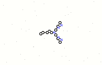 c1ccc2cc(-c3ccc4c(ccc5cc(N(c6ccc(-c7ccc8c(cnc9ccccc98)n7)cc6)c6ccc(-c7ccc8c(cnc9ccccc98)n7)cc6)ccc54)c3)ccc2c1